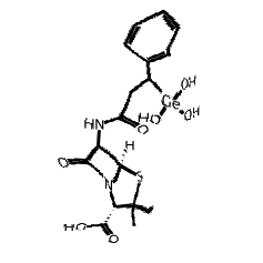 CC1(C)S[C@@H]2C(NC(=O)C[CH](c3ccccc3)[Ge]([OH])([OH])[OH])C(=O)N2[C@H]1C(=O)O